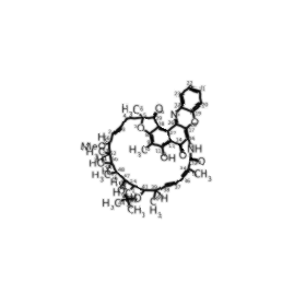 CO[C@H]1/C=C/C[C@@]2(C)Oc3c(C)c(O)c4c(=O)c(c5oc6ccccc6nc-5c4c3C2=O)NC(=O)/C(C)=C\C=C\[C@H](C)C2OC(C)(C)O[C@@H]([C@@H](C)[C@H](O)[C@@H]1C)[C@@H]2C